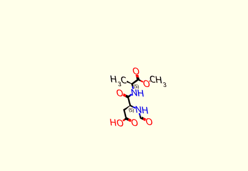 COC(=O)[C@H](C)NC(=O)[C@H](CC(=O)O)NC=O